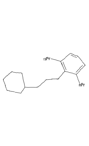 CCCc1cccc(CCC)c1CCCC1CCCCC1